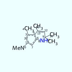 CNc1cc(C)c2c(c1)NC(C)(C)C=C2C